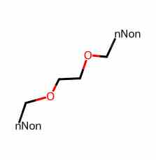 CCCCCCCCCCOCCOCCCCCCCCCC